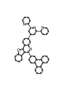 c1ccc(-c2cc(-c3ccc4c(c3)nc(-c3ccc5c6ccccc6c6ccccc6c5c3)c3c5ccccc5oc43)cc(-c3ccccn3)n2)nc1